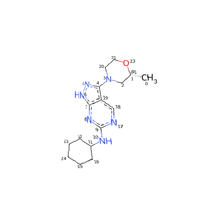 C[C@@H]1CN(c2n[nH]c3nc(NC4CCCCC4)ncc23)CCO1